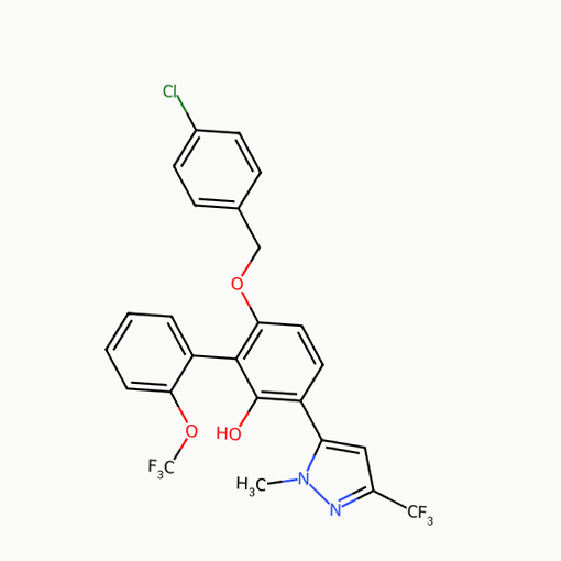 Cn1nc(C(F)(F)F)cc1-c1ccc(OCc2ccc(Cl)cc2)c(-c2ccccc2OC(F)(F)F)c1O